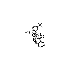 CCOc1ccc(C(C)(C)C)cc1S(=O)(=O)n1nnc2ccccc2c1=O